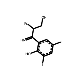 CC(C)C(CO)C(=N)c1cc(I)cc(I)c1O